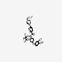 N#Cc1ccc(OC2CCC(NC(=O)c3ccc(N4CCN(CC(=O)O)CC4)nn3)CC2)cc1Cl.O=C(O)C(F)(F)F